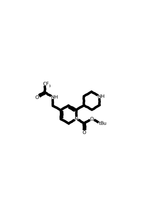 CC(C)(C)OC(=O)N1CC=C(CNC(=O)C(F)(F)F)C=C1C1CCNCC1